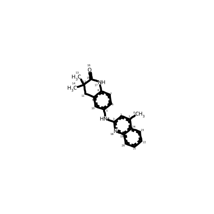 Cc1cc(Nc2ccc3c(c2)CC(C)(C)C(=O)N3)nc2ccccc12